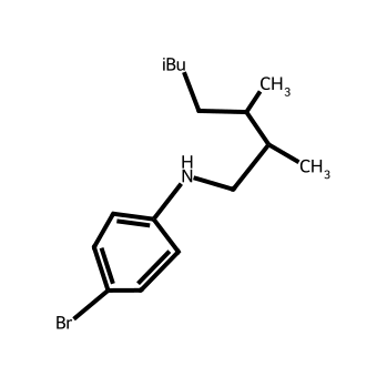 CCC(C)CC(C)C(C)CNc1ccc(Br)cc1